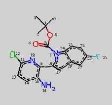 CC(C)(C)OC(=O)n1c(-c2nc(Cl)ccc2N)cc2cc(F)ccc21